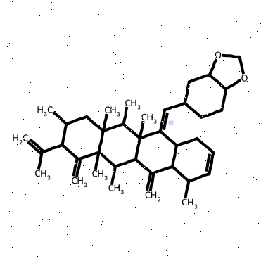 C=C(C)C1C(=C)C2(C)C(C)C3C(=C)C4C(C)C=CCC4/C(=C\C4CCC5OCOC5C4)C3(C)C(C)C2(C)CC1C